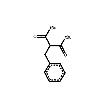 CC(C)(C)C(=O)C(Cc1ccccc1)C(=O)C(C)(C)C